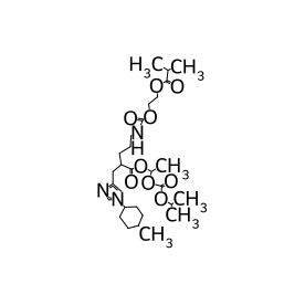 CC1CCC(n2cnc(CC(CCCNC(=O)OCCOC(=O)C(C)C)C(=O)OC(C)OC(=O)OC(C)C)c2)CC1